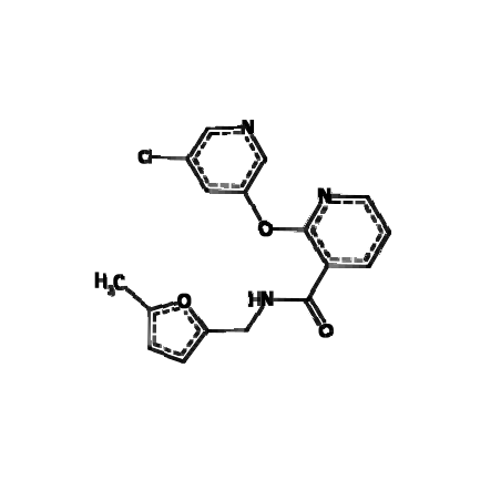 Cc1ccc(CNC(=O)c2cccnc2Oc2cncc(Cl)c2)o1